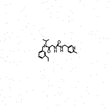 CCc1cccc(CN(C(=O)CNC(=O)NCc2ccc(C)nc2)C(C)C)c1